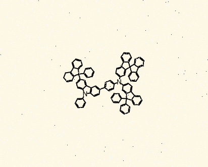 C1=CC2=C(CC1)c1ccccc1C2(c1ccccc1)c1ccc2c(c1)c1cc(-c3ccc(N(c4ccc5c(c4)C(c4ccccc4)(c4ccccc4)c4ccccc4-5)c4ccc5c(c4)C4(c6ccccc6-c6ccccc64)c4ccccc4-5)cc3)ccc1n2-c1ccccc1